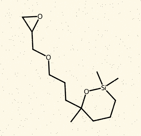 CC1(CCCOCC2CO2)CCC[Si](C)(C)O1